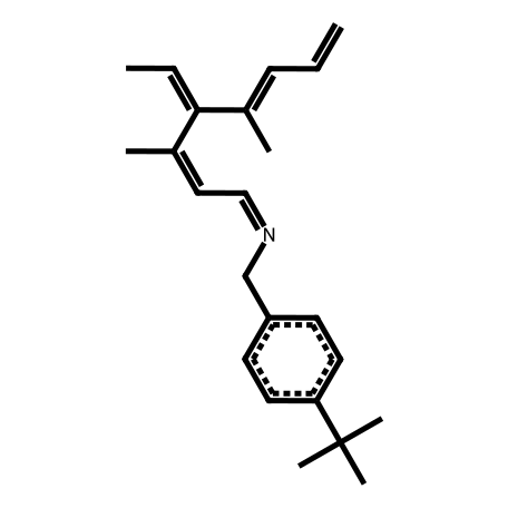 C=C/C=C(C)/C(=C/C)C(/C)=C\C=N/Cc1ccc(C(C)(C)C)cc1